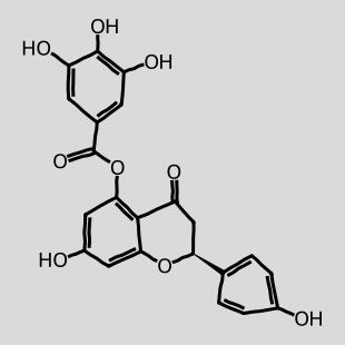 O=C(Oc1cc(O)cc2c1C(=O)C[C@@H](c1ccc(O)cc1)O2)c1cc(O)c(O)c(O)c1